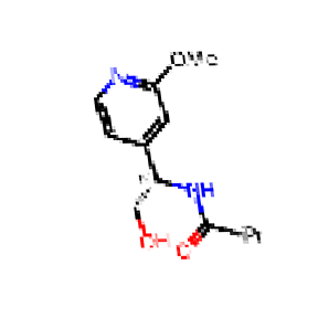 COc1cc([C@@H](CO)NC(=O)C(C)C)ccn1